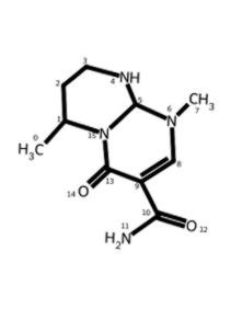 CC1CCNC2N(C)C=C(C(N)=O)C(=O)N12